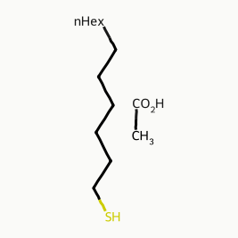 CC(=O)O.CCCCCCCCCCCCS